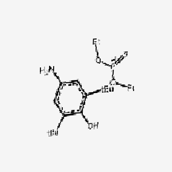 CC(C)(C)c1cc(N)cc(C(C)(C)C)c1O.CCO[PH](=S)OCC